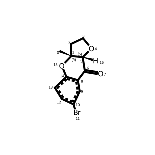 C[C@@]12CCO[C@@H]1C(=O)c1cc(Br)ccc1O2